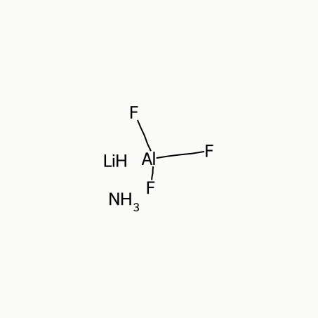 N.[F][Al]([F])[F].[LiH]